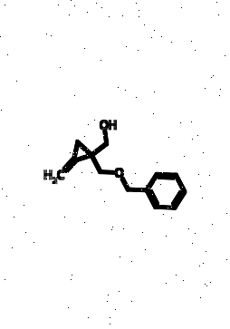 C=C1CC1(CO)COCc1ccccc1